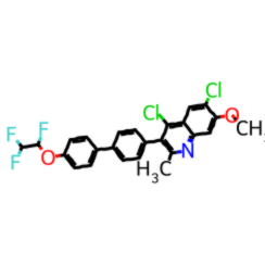 COc1cc2nc(C)c(-c3ccc(-c4ccc(OC(F)C(F)F)cc4)cc3)c(Cl)c2cc1Cl